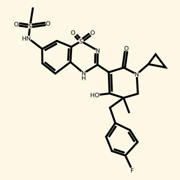 CC1(Cc2ccc(F)cc2)CN(C2CC2)C(=O)C(C2=NS(=O)(=O)c3cc(NS(C)(=O)=O)ccc3N2)=C1O